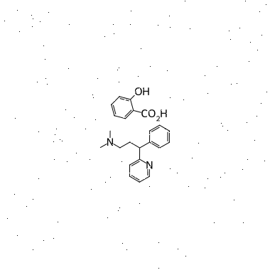 CN(C)CCC(c1ccccc1)c1ccccn1.O=C(O)c1ccccc1O